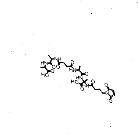 CC(NC(=O)C(C)NC(=O)CCC(=O)NC(C)C(=O)NC(C)(NC(=O)CCCN1C(=O)C=CC1=O)C(=O)O)C(=O)O